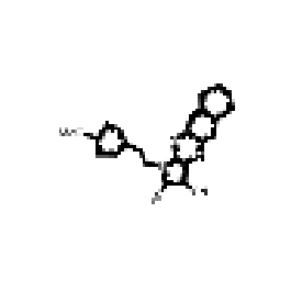 COc1ccc(CCn2c(N)c(C#N)c3nc4cc5ccccc5cc4nc32)cc1